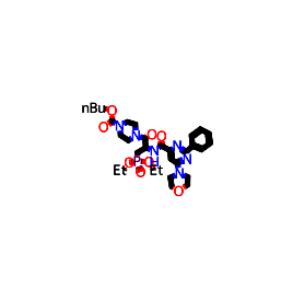 CCCCOC(=O)N1CCN(C(=O)C(CP(=O)(OCC)OCC)NC(=O)c2cc(N3CCOCC3)nc(-c3ccccc3)n2)CC1